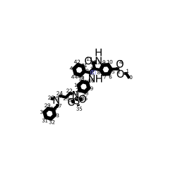 CCOC(=O)c1ccc2c(c1)NC(=O)/C2=C(/Nc1ccc(N(CCCN(C)Cc2ccccc2)S(C)(=O)=O)cc1)c1ccccc1